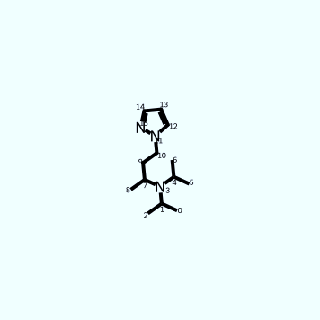 CC(C)N(C(C)C)C(C)CCn1cccn1